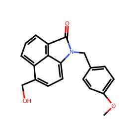 COc1ccc(CN2C(=O)c3cccc4c(CO)ccc2c34)cc1